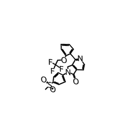 CS(=O)(=O)c1ccc(N2Cc3c(ccnc3-c3ccccc3OCC(F)(F)F)C2=O)cc1